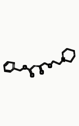 O=C(COCCN1CCCCC1)CC(=O)OCc1ccccc1